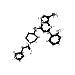 Bc1cnn2c(NC3CCN(C(=O)Cc4ccsc4)CC3)cc(-c3ccccc3Cl)nc12